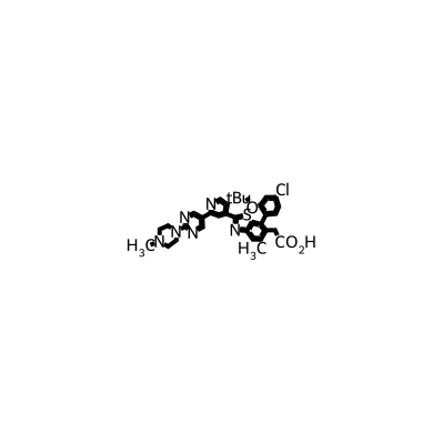 Cc1cc2nc(-c3ccnc(-c4cnc(N5CCN(C)CC5)nc4)c3)sc2c(-c2ccc(Cl)cc2OC(C)(C)C)c1CC(=O)O